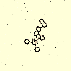 c1ccc(-c2cc(-c3ccccc3)nc(-n3c4ccccc4c4c5cc(-c6cccc7ccccc67)ccc5ccc43)n2)cc1